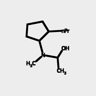 CCCC1CCCC1N(C)C(C)O